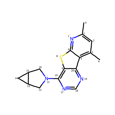 Cc1cc(C)c2c(n1)sc1c(N3CC4CC4C3)ncnc12